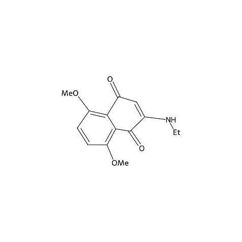 CCNC1=CC(=O)c2c(OC)ccc(OC)c2C1=O